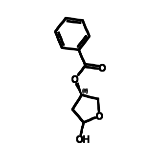 O=C(O[C@H]1COC(O)C1)c1ccccc1